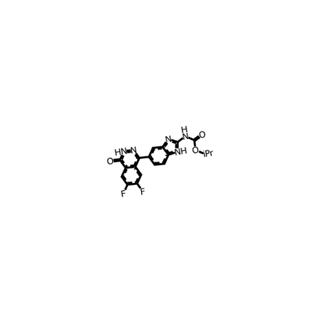 CC(C)OC(=O)Nc1nc2cc(-c3n[nH]c(=O)c4cc(F)c(F)cc34)ccc2[nH]1